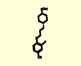 CCCCCCCC[C@H]1CC[C@H](CCCOc2ccc(C#N)cc2F)CC1